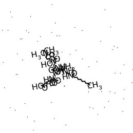 CCCCCCCCCC(=O)NCCNC[C@H](N)C(=O)N[C@H](CCN1C(=O)c2cccc3c(N(C)C)ccc(c23)C1O)C(=O)NCC[C@@H](NC(=O)CCCC(=O)O)C(=O)O